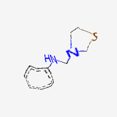 c1ccc(NCN2CCSC2)cc1